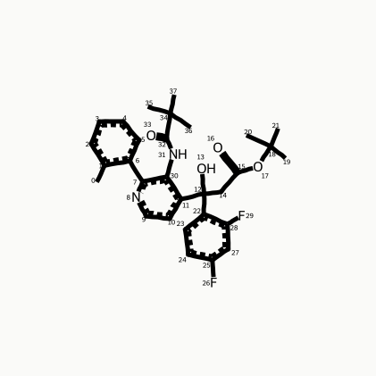 Cc1ccccc1-c1nccc(C(O)(CC(=O)OC(C)(C)C)c2ccc(F)cc2F)c1NC(=O)C(C)(C)C